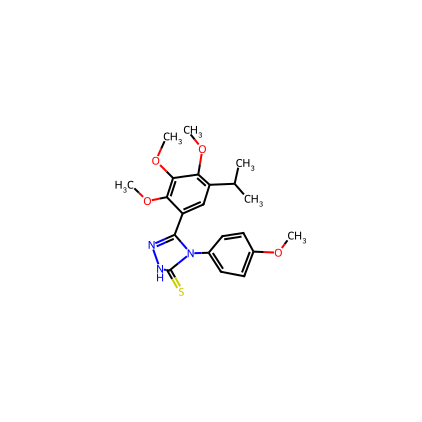 COc1ccc(-n2c(-c3cc(C(C)C)c(OC)c(OC)c3OC)n[nH]c2=S)cc1